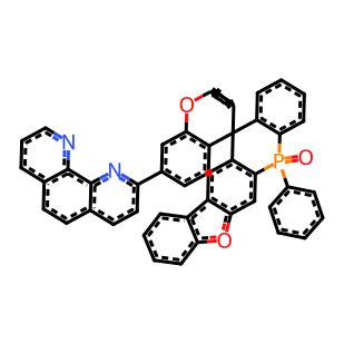 O=P1(c2ccccc2)c2ccccc2C2(c3ccccc3Oc3cc(-c4ccc5ccc6cccnc6c5n4)ccc32)c2cc3c(cc21)oc1ccccc13